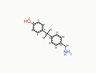 CC(C)(c1ccc(O)cc1)c1ccc(CN)cc1